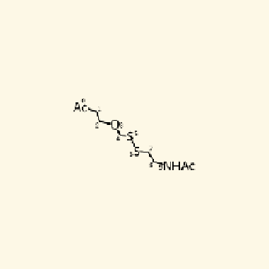 CC(=O)CCOCSSCCNC(C)=O